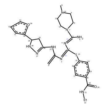 C=C(/N=C(\N=C(/N)N1CCN(C)CC1)Sc1ccc(C(=O)NCC)cc1)NC1=NNC(c2ccco2)C1